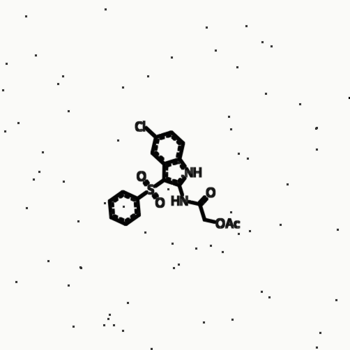 CC(=O)OCC(=O)Nc1[nH]c2ccc(Cl)cc2c1S(=O)(=O)c1ccccc1